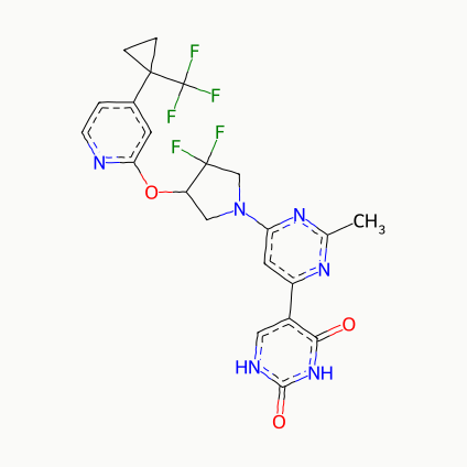 Cc1nc(-c2c[nH]c(=O)[nH]c2=O)cc(N2CC(Oc3cc(C4(C(F)(F)F)CC4)ccn3)C(F)(F)C2)n1